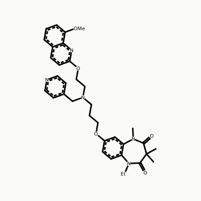 CCN1C(=O)C(C)(C)C(=O)N(C)c2cc(OCCCN(CCOc3ccc4cccc(OC)c4n3)Cc3ccncc3)ccc21